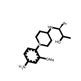 COc1cc(N)ccc1N1CCC(N[C@@H](C(C)C)C(C)O)CC1